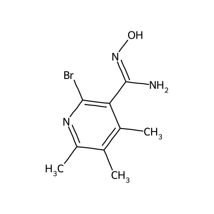 Cc1nc(Br)c(/C(N)=N/O)c(C)c1C